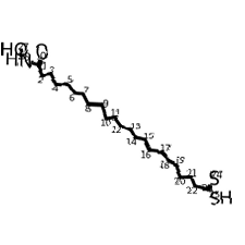 O=C(CCCCCCCCCCCCCCCCCCCCCC(=S)S)NO